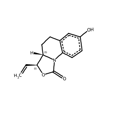 C=C[C@@H]1OC(=O)N2c3ccc(O)cc3CC[C@@H]12